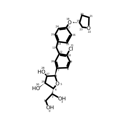 OCC(O)[C@H]1O[C@H](c2ccc(Cl)c(Cc3ccc(O[C@@H]4CCOC4)cc3)c2)[C@H](O)[C@H]1O